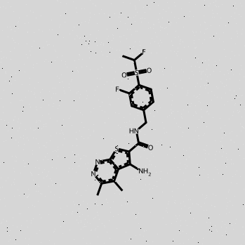 Cc1nnc2sc(C(=O)NCc3ccc(S(=O)(=O)C(C)F)c(F)c3)c(N)c2c1C